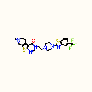 CN1CCc2c(sc3ncn(CCN4CCN(c5nc6cc(C(F)(F)F)ccc6s5)CC4)c(=O)c23)C1